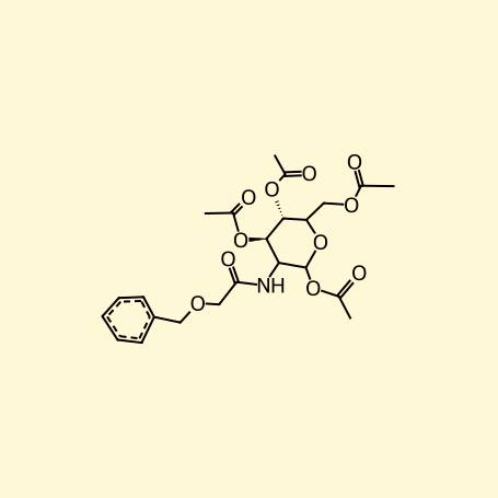 CC(=O)OCC1OC(OC(C)=O)C(NC(=O)COCc2ccccc2)[C@@H](OC(C)=O)[C@@H]1OC(C)=O